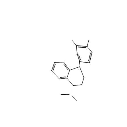 CN(C)[C@H]1CC[C@H](c2ccc(Cl)c(Cl)c2)c2ccccc21